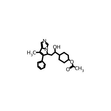 CC(=O)OC1CCC(C(O)CC2C(c3ccccc3)=C(C)c3cncn32)CC1